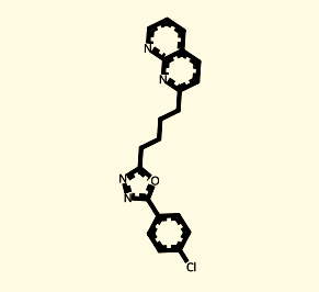 Clc1ccc(-c2nnc(CCCCc3ccc4cccnc4n3)o2)cc1